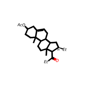 CCC(=O)C1[C@H](CC)CC2C3CC=C4CC(OC(C)=O)CCC4(C)C3CCC21C